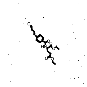 CCOC(=O)CCC(NC(=O)c1ccc(CCCC=O)cc1)C(=O)OCC